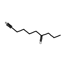 CCCC(=O)CCCCC#N